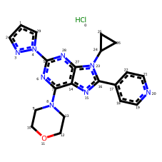 Cl.c1cnn(-c2nc(N3CCOCC3)c3nc(-c4ccncc4)n(C4CC4)c3n2)c1